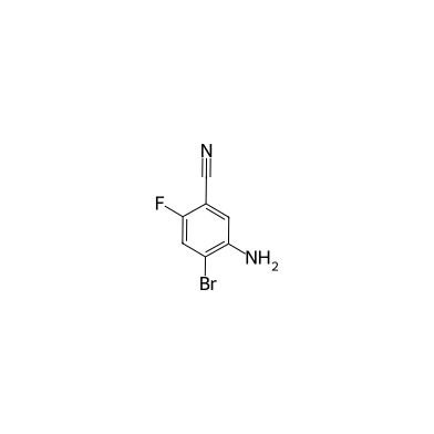 N#Cc1cc(N)c(Br)cc1F